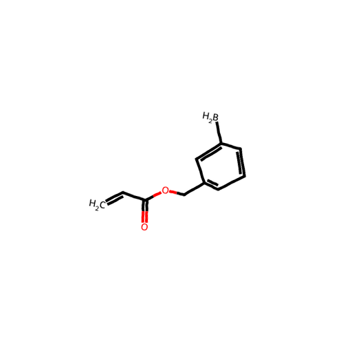 Bc1cccc(COC(=O)C=C)c1